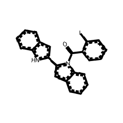 O=C(c1ccccc1I)n1c(-c2cc3ccccc3[nH]2)cc2ccccc21